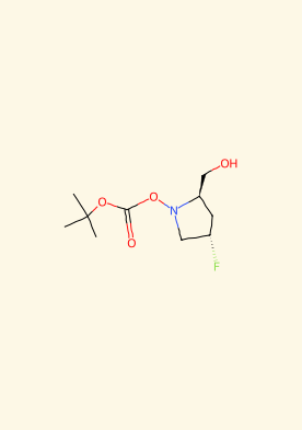 CC(C)(C)OC(=O)ON1C[C@@H](F)C[C@@H]1CO